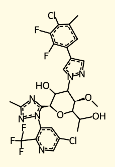 CO[C@H]1C(C(C)O)O[C@@H](c2nc(C)nn2-c2cc(Cl)cnc2C(F)(F)F)C(O)C1n1cc(-c2cc(C)c(Cl)c(F)c2F)cn1